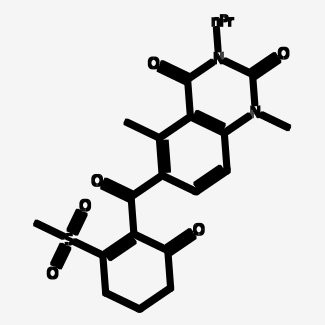 CCCn1c(=O)c2c(C)c(C(=O)C3=C(S(C)(=O)=O)CCCC3=O)ccc2n(C)c1=O